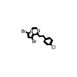 Clc1ccc(CCc2nccn3c(Br)cc(Br)c23)cc1